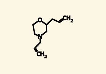 C=CCC1CN(CC=C)CCO1